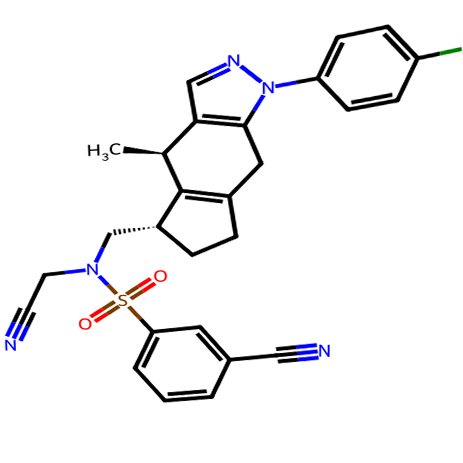 C[C@@H]1C2=C(CC[C@@H]2CN(CC#N)S(=O)(=O)c2cccc(C#N)c2)Cc2c1cnn2-c1ccc(F)cc1